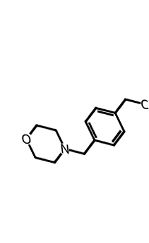 N#CCc1ccc(CN2CCOCC2)cc1